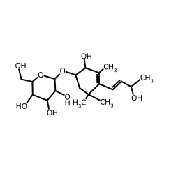 CC1=C(C=CC(C)O)C(C)(C)CC(OC2OC(CO)C(O)C(O)C2O)C1O